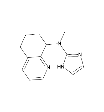 CN(c1ncc[nH]1)C1CCCc2cccnc21